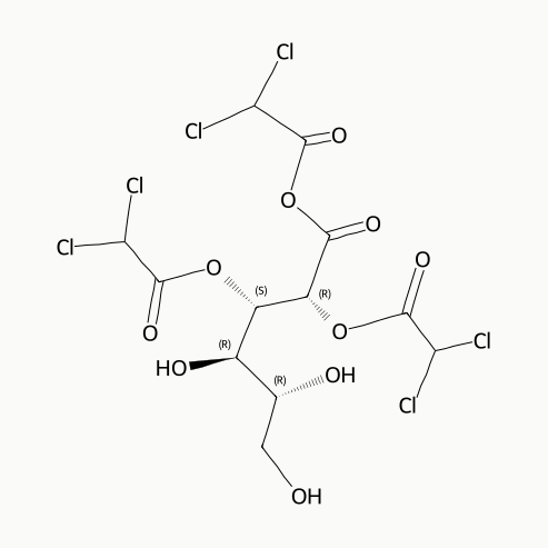 O=C(OC(=O)[C@H](OC(=O)C(Cl)Cl)[C@@H](OC(=O)C(Cl)Cl)[C@H](O)[C@H](O)CO)C(Cl)Cl